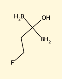 BC(B)(O)CCF